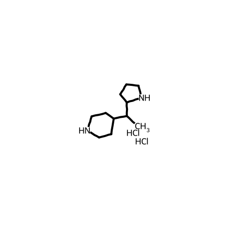 CC(C1CCNCC1)C1CCCN1.Cl.Cl